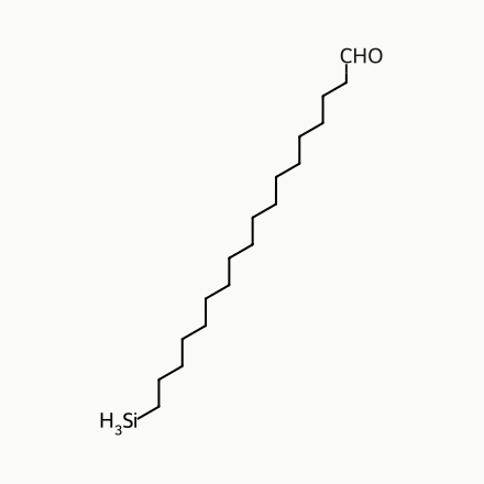 O=CCCCCCCCCCCCCCCCCC[SiH3]